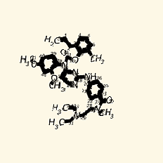 C=CCc1cccc(C)c1OC(=O)N(c1ccnc(Nc2ccc(C(=O)N(C)CCN(CC)CC)cc2)n1)c1ccc(OC)cc1OC